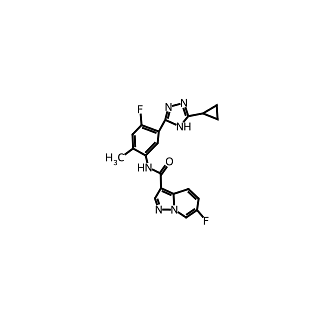 Cc1cc(F)c(-c2nnc(C3CC3)[nH]2)cc1NC(=O)c1cnn2cc(F)ccc12